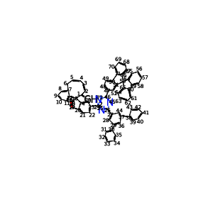 C=C1/C=C\C=C/Cc2ccccc2C12c1ccccc1-c1ccc(-c3nc(-c4cc(-c5ccccc5)cc(-c5ccccc5)c4)nc(-c4ccc5c(c4)C4(c6ccccc6-c6ccccc64)c4ccccc4-5)n3)cc12